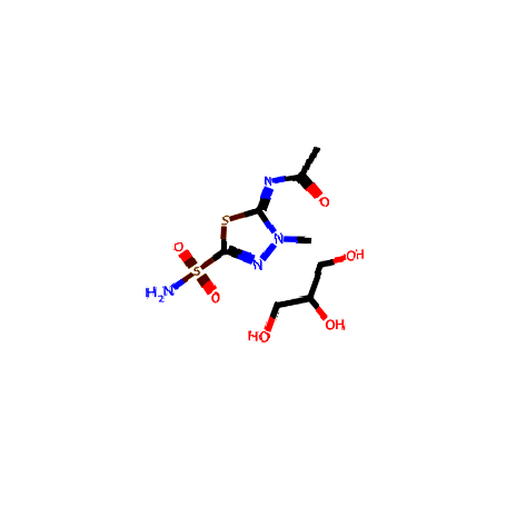 CC(=O)N=c1sc(S(N)(=O)=O)nn1C.OCC(O)CO